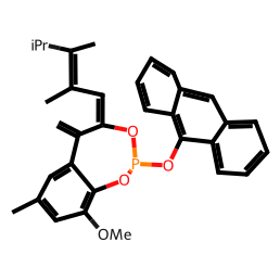 C=c1/c(=C\C(C)=C(/C)C(C)C)op(Oc2c3ccccc3cc3ccccc23)oc2c(OC)cc(C)cc12